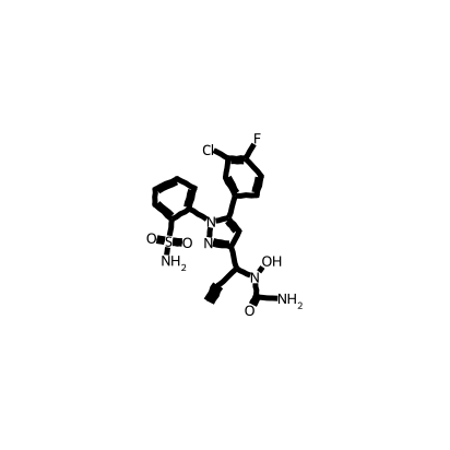 C#CC(c1cc(-c2ccc(F)c(Cl)c2)n(-c2ccccc2S(N)(=O)=O)n1)N(O)C(N)=O